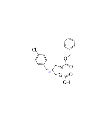 O=C(O)[C@@H]1C/C(=C/c2ccc(Cl)cc2)CN1C(=O)OCc1ccccc1